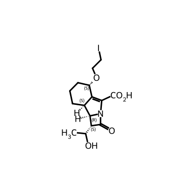 CC(O)[C@H]1C(=O)N2C(C(=O)O)=C3[C@@H](OCCI)CCC[C@@H]3[C@H]12